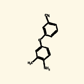 Cc1cc(Oc2[c]ccc(C#N)c2)ccc1N